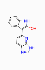 Oc1[nH]c2ccccc2c1-c1ccc2nc[nH]c2n1